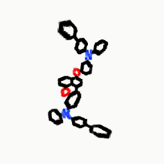 C1=CC2C(Oc3cccc(N(c4ccccc4)c4ccc(-c5ccccc5)cc4)c3)=CC=C3c4ccc(N(c5ccccc5)c5ccc(-c6ccccc6)cc5)cc4OC(=C1)C32